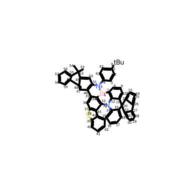 CC(C)(C)c1ccc(N2B3c4cccc5c4N(c4ccccc4C54c5ccccc5-c5ccccc54)c4c3c(cc3sc5ccccc5c43)-c3cc4c(cc32)C(C)(C)c2ccccc2-4)cc1